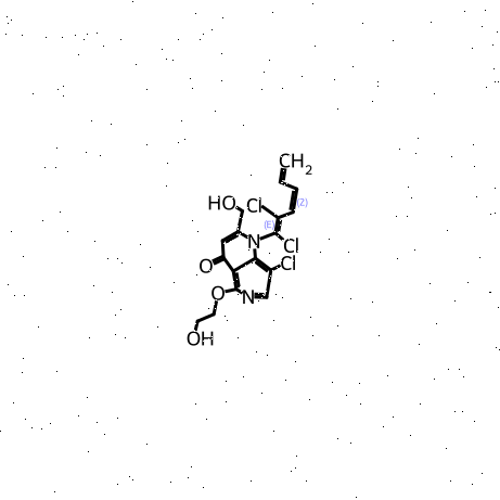 C=C/C=C\C(Cl)=C(/Cl)n1c(CO)cc(=O)c2c(OCCO)ncc(Cl)c21